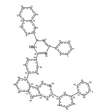 c1ccc(C2=NC(c3ccc4ccccc4c3)NC(c3ccc(-c4cccc5oc6cc(-c7cccc(-c8ccccc8)c7)ncc6c45)cc3)=N2)cc1